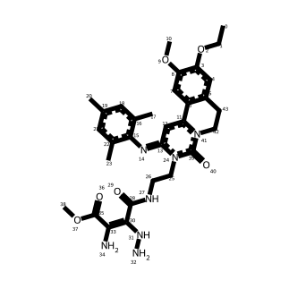 CCOc1cc2c(cc1OC)-c1c/c(=N\c3c(C)cc(C)cc3C)n(CCNC(=O)/C(NN)=C(/N)C(=O)OC)c(=O)n1CC2